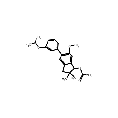 COc1cc2c(cc1-c1cccc(OC(C)C)c1)CC(C)(C)C2OC(N)=O